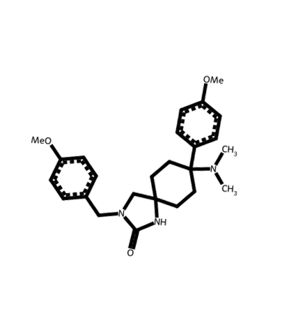 COc1ccc(CN2CC3(CCC(c4ccc(OC)cc4)(N(C)C)CC3)NC2=O)cc1